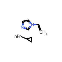 C=Cn1ccnc1.CCCC1CC1